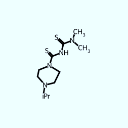 CC(C)N1CCN(C(=S)NC(=S)N(C)C)CC1